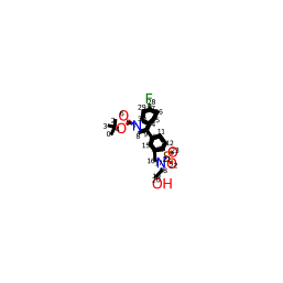 CC(C)(C)OC(=O)n1cc(-c2ccc3c(c2)CN(CCO)S3(=O)=O)c2ccc(F)cc21